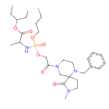 CCCCOP(=O)(NC(C)C(=O)OC(CC)CC)OCC(=O)N1CCN(Cc2ccccc2)C2(CCN(C)C2=O)C1